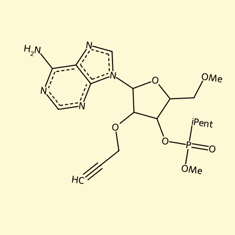 C#CCOC1C(OP(=O)(OC)C(C)CCC)C(COC)OC1n1cnc2c(N)ncnc21